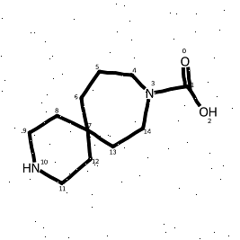 O=C(O)N1CCCC2(CCNCC2)CC1